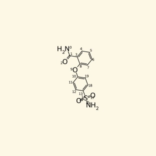 NC(=O)c1ccccc1Oc1ccc(S(N)(=O)=O)cc1